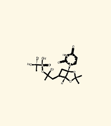 CCC(C)(CC1C[C@]2(n3ccc(=O)[nH]c3=O)OC(C)(C)O[C@H]12)OP(=O)(O)[C@@](C)(O)CC